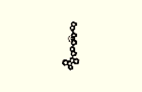 c1ccc2cc(-c3ccc4c(c3)oc3cc(-c5ccc6cc(-c7cc8c9ccccc9c9ccccc9c8c8ccccc78)ccc6c5)ccc34)ccc2c1